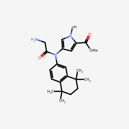 CCCn1cc(N(C(=O)CN)c2ccc3c(c2)C(C)(C)CCC3(C)C)cc1C(=O)OC